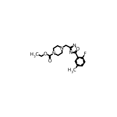 CCOC(=O)N1CCN(Cc2noc(-c3cc(C)ccc3F)n2)CC1